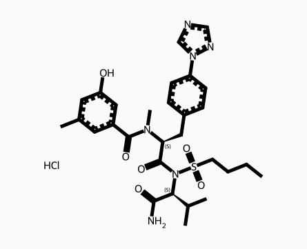 CCCCS(=O)(=O)N(C(=O)[C@H](Cc1ccc(-n2cncn2)cc1)N(C)C(=O)c1cc(C)cc(O)c1)[C@H](C(N)=O)C(C)C.Cl